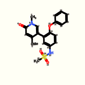 COc1cc(=O)n(C)cc1-c1cc(NS(C)(=O)=O)ccc1Oc1ccccc1